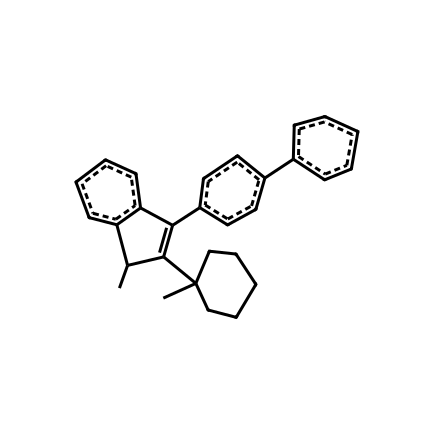 CC1C(C2(C)CCCCC2)=C(c2ccc(-c3ccccc3)cc2)c2ccccc21